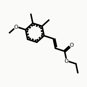 CCOC(=O)C=Cc1ccc(OC)c(C)c1C